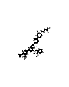 COCC1(CN(C)c2cc(-c3cnc(C4CC4)c(C(F)(F)F)c3)nc3nc(-c4cnc(N5CCN(CCCC(=O)O)[C@H](C)C5)cn4)[nH]c23)CCCC1